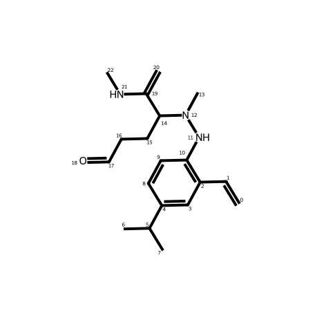 C=Cc1cc(C(C)C)ccc1NN(C)C(CCC=O)C(=C)NC